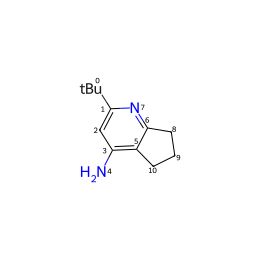 CC(C)(C)c1cc(N)c2c(n1)CCC2